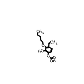 CCCCCOc1c(CC)ccc(OC(=O)O)c1O